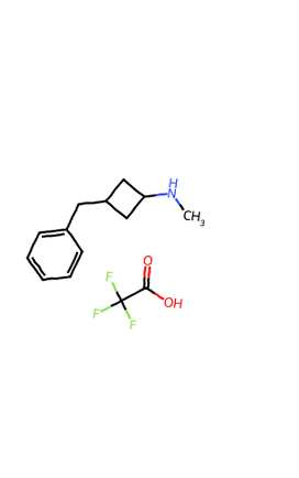 CNC1CC(Cc2ccccc2)C1.O=C(O)C(F)(F)F